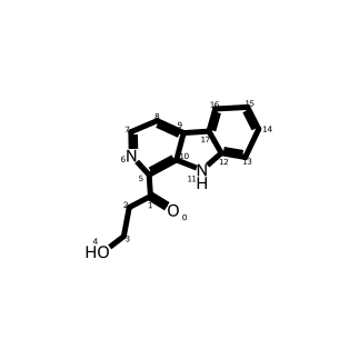 O=C(CCO)c1nccc2c1[nH]c1ccccc12